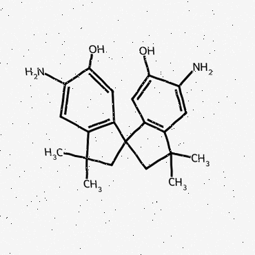 CC1(C)CC2(CC(C)(C)c3cc(N)c(O)cc32)c2cc(O)c(N)cc21